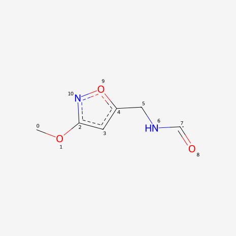 COc1cc(CN[C]=O)on1